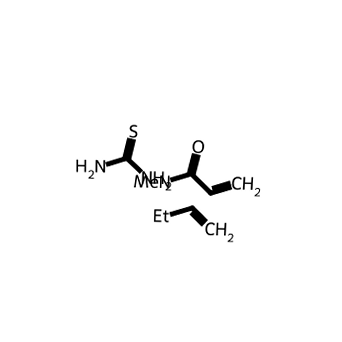 C=CC(=O)NC.C=CCC.NC(N)=S